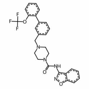 O=C(Nc1noc2ccccc12)N1CCN(Cc2cccc(-c3ccccc3OC(F)(F)F)c2)CC1